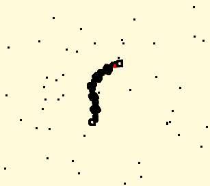 O=C(CCc1ccc(OC[C@H]2CC[C@H](CCCCl)CC2)cc1)CCc1ccc(OC[C@H]2CC[C@H](CCCCl)CC2)cc1